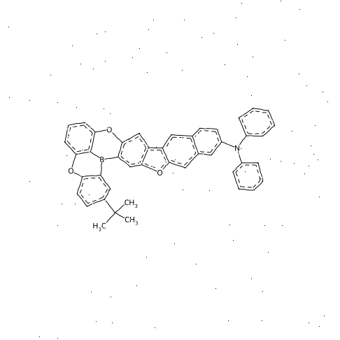 CC(C)(C)c1ccc2c(c1)B1c3cc4oc5cc6cc(N(c7ccccc7)c7ccccc7)ccc6cc5c4cc3Oc3cccc(c31)O2